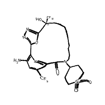 Nc1cc(C(F)(F)F)c2nc1-c1nnc(o1)[C@@](O)(C(F)(F)F)CCCCCN(C1CCS(=O)(=O)CC1)C2=O